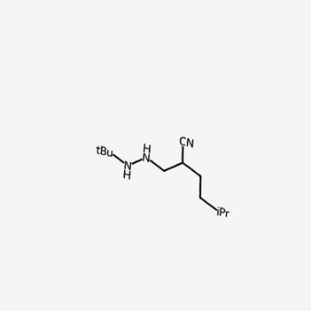 CC(C)CCC(C#N)CNNC(C)(C)C